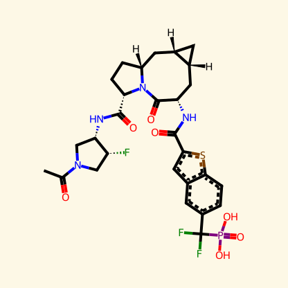 CC(=O)N1C[C@@H](F)[C@@H](NC(=O)[C@@H]2CC[C@@H]3C[C@@H]4C[C@@H]4C[C@H](NC(=O)c4cc5cc(C(F)(F)P(=O)(O)O)ccc5s4)C(=O)N32)C1